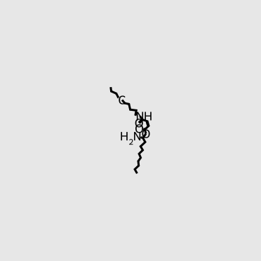 CCCCCCCCCCNC(=O)/C=C\C(=O)OC(N)CCCCCCCCC